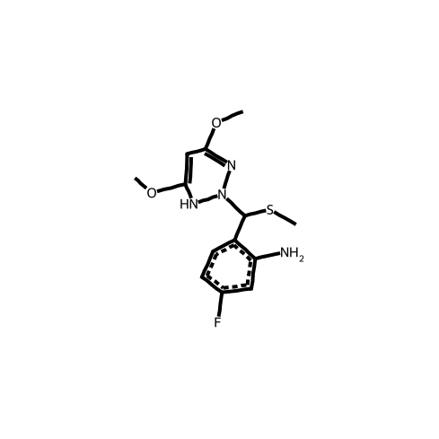 COC1=CC(OC)=NN(C(SC)c2ccc(F)cc2N)N1